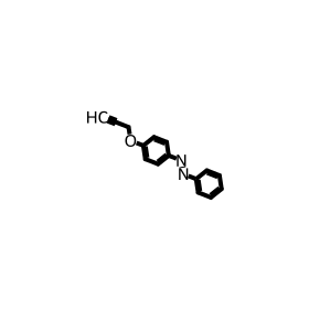 C#CCOc1ccc(/N=N/c2ccccc2)cc1